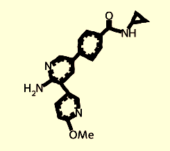 COc1ccc(-c2cc(-c3ccc(C(=O)NC4CC4)cc3)cnc2N)cn1